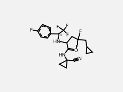 N#CC1(NC(=O)C(CC(F)(F)CC2CC2)N[C@@H](c2ccc(F)cc2)C(F)(F)F)CC1